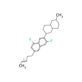 C/C=C/CCc1cc(F)c2cc(C3CCC4CC(C)CCC4C3)c(F)cc2c1